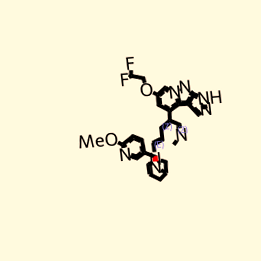 C\N=C/C(=C\C=C\N1CC2CC(C1)N2Cc1ccc(OC)nc1)c1cc(OCC(F)F)cn2nc3[nH]ncc3c12